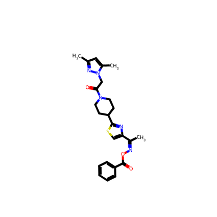 CC(=NOC(=O)c1ccccc1)c1csc(C2CCN(C(=O)Cn3nc(C)cc3C)CC2)n1